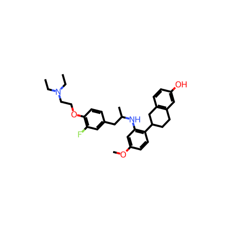 CCN(CC)CCOc1ccc(CC(C)Nc2cc(OC)ccc2C2CCc3cc(O)ccc3C2)cc1F